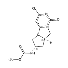 CC(C)(C)OC(=O)N[C@H]1C[C@@H]2Cn3c(cc(Cl)nc3=O)N2C1